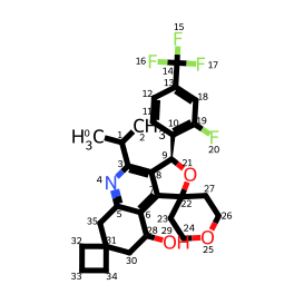 CC(C)c1nc2c(c3c1[C@@H](c1ccc(C(F)(F)F)cc1F)OC31CCOCC1)C(O)CC1(CCC1)C2